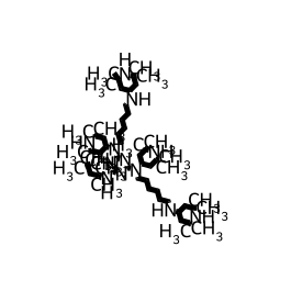 CC(C)(C)CC(C)(C)Nc1nc(N(CCCCCCNC2CC(C)(C)NC(C)(C)C2)C2CC(C)(C)NC(C)(C)C2)nc(N(CCCCCCNC2CC(C)(C)NC(C)(C)C2)C2CC(C)(C)NC(C)(C)C2)n1